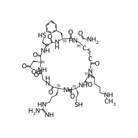 CNCCCC[C@@H]1NC(=O)CSC[C@@H](C(N)=O)NC(=O)[C@H](Cc2ccccc2)NC(=O)[C@H](CS)NC(=O)[C@H](CC(=O)O)NC(=O)CNC(=O)[C@H](CCCNC(=N)N)NC(=O)[C@H](CCS)NC1=O